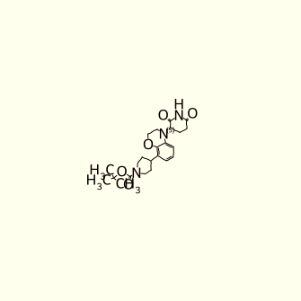 CC(C)(C)OC(=O)N1CCC(c2cccc3c2OCCN3[C@H]2CCC(=O)NC2=O)CC1